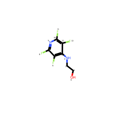 OCCNc1c(F)c(F)nc(F)c1F